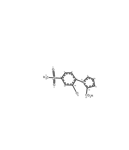 CS(=O)(=O)c1ccc(-n2cccc2C(=O)O)c(Cl)c1